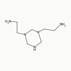 NCCN1CNCN(CCN)C1